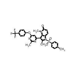 Cc1ccc(S(=O)(=O)n2c(C)c(-c3cc(Oc4ccc(C(F)(F)F)cc4)nc(C)n3)c3c2ccc(=O)n3C)cc1